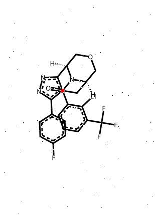 O=C(c1cccc(C(F)(F)F)c1Cl)N1[C@H]2COC[C@@H]1c1nnc(-c3ccc(F)cc3)n1C2